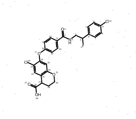 O=C(NCC(F)c1ccc(Cl)cc1)c1ccc(Oc2cc3c(cc2Cl)C(C(=O)O)CCO3)cc1